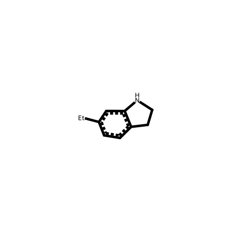 CCc1ccc2c(c1)NCC2